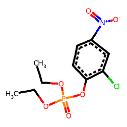 CCOP(=O)(OCC)Oc1ccc([N+](=O)[O-])cc1Cl